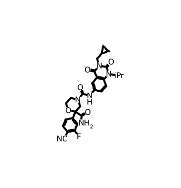 CC(C)n1c(=O)n(CC2CC2)c(=O)c2cc(NC(=O)N3CCOC(C(N)=O)(c4ccc(C#N)c(F)c4)C3)ccc21